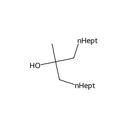 CCCCCCCCC(C)(O)CCCCCCCC